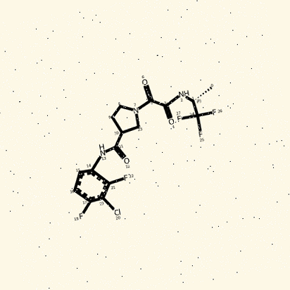 C[C@@H](NC(=O)C(=O)N1CCC(C(=O)Nc2ccc(F)c(Cl)c2F)C1)C(F)(F)F